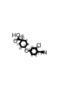 N#Cc1ccc(O[C@H]2CC[C@](F)(C(=O)O)CC2)cc1Cl